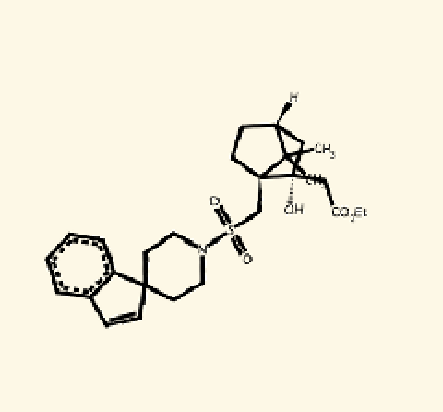 CCOC(=O)C[C@]1(O)C[C@H]2CC[C@]1(CS(=O)(=O)N1CCC3(C=Cc4ccccc43)CC1)C2(C)C